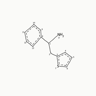 NC(Cc1cccs1)c1ccccc1